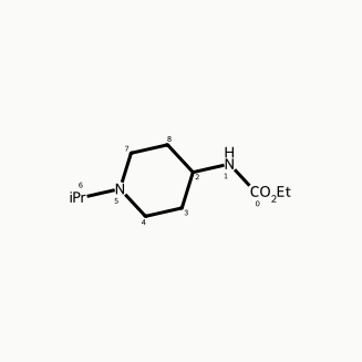 CCOC(=O)NC1CCN(C(C)C)CC1